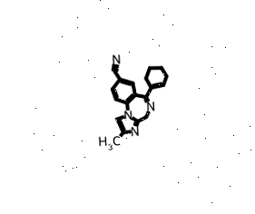 Cc1cn2c(n1)CN=C(C1=CCCCC1)c1cc(C#N)ccc1-2